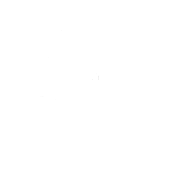 C1=CC2=[C](C1)[Zr]([CH2]c1ccccc1)([CH2]c1ccccc1)[C]1=C(C=CC1)CC2